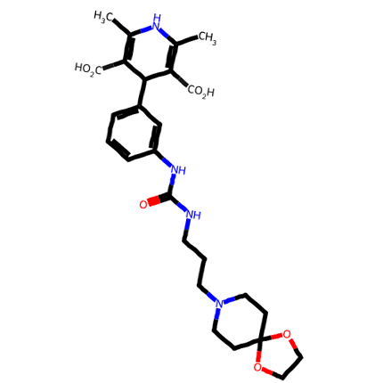 CC1=C(C(=O)O)C(c2cccc(NC(=O)NCCCN3CCC4(CC3)OCCO4)c2)C(C(=O)O)=C(C)N1